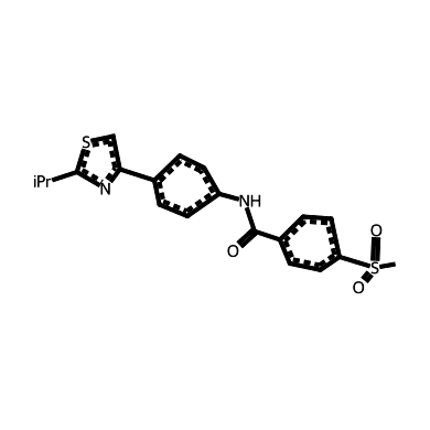 CC(C)c1nc(-c2ccc(NC(=O)c3ccc(S(C)(=O)=O)cc3)cc2)cs1